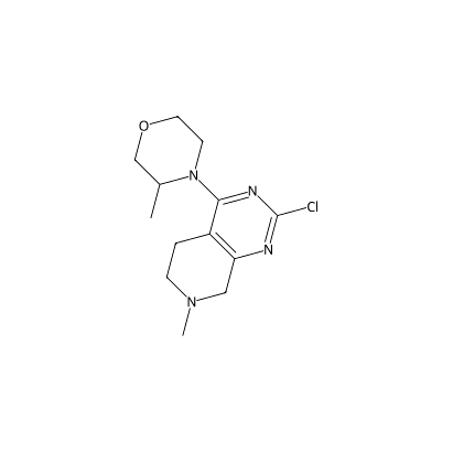 CC1COCCN1c1nc(Cl)nc2c1CCN(C)C2